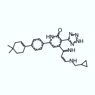 CC1(C)CC=C(c2ccc(-c3cc(C(=N)/C=C\NCC4CC4)c(-c4nn[nH]n4)c(=O)[nH]3)cc2)CC1